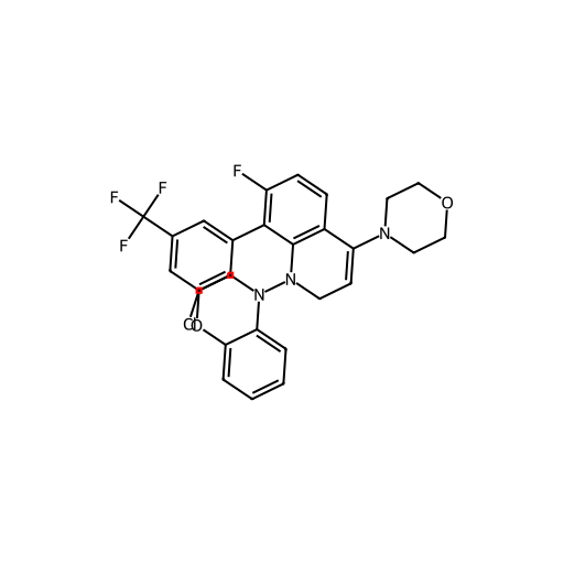 Fc1ccc2c(c1-c1cc(Cl)cc(C(F)(F)F)c1)N(N1CCOc3ccccc31)CC=C2N1CCOCC1